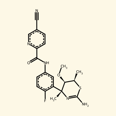 CO[C@H]1[C@@H](C)SC(N)=N[C@]1(C)c1cc(NC(=O)c2ccc(C#N)cn2)ccc1F